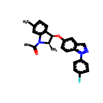 Cc1ccc2c(c1)N(C(=O)C(C)(C)C)[C@@H](C)[C@@H]2Oc1ccc2c(cnn2-c2ccc(F)cc2)c1